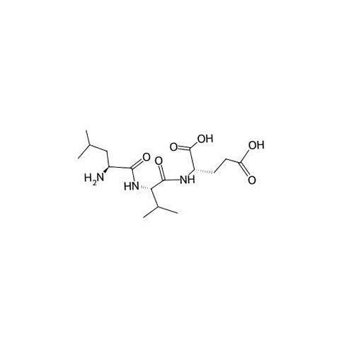 CC(C)C[C@H](N)C(=O)N[C@H](C(=O)N[C@@H](CCC(=O)O)C(=O)O)C(C)C